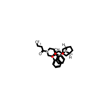 Cc1nc2ccccc2n1[C@H]1C[C@H]2CC[C@@H](C1)N2CCC1(c2ccccc2)CCN(C(=O)CCC(F)(F)F)CC1